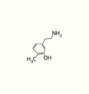 Cc1ccc(CCN)cc1O